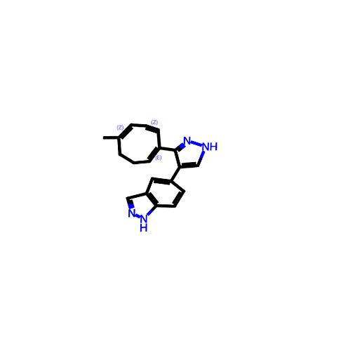 C/C1=C/C=C\C(c2n[nH]cc2-c2ccc3[nH]ncc3c2)=C/CC1